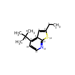 CCc1cc2c(C(C)(C)C)ccnc2s1